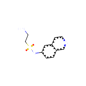 NCCS(=O)(=O)Nc1ccc2cnccc2c1